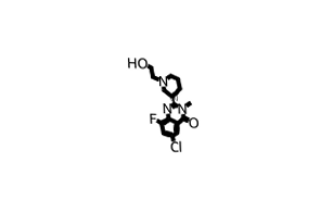 Cn1c([C@@H]2CCCN(CCO)C2)nc2c(F)cc(Cl)cc2c1=O